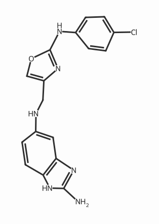 Nc1nc2cc(NCc3coc(Nc4ccc(Cl)cc4)n3)ccc2[nH]1